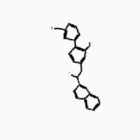 Fc1cccc(-c2ccc(CC(F)c3ccc4ccccc4c3)cc2F)c1